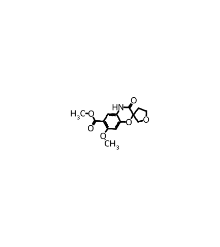 COC(=O)c1cc2c(cc1OC)OC1(CCOC1)C(=O)N2